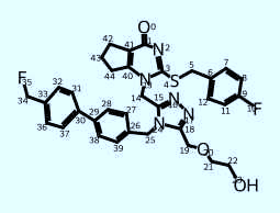 O=c1nc(SCc2ccc(F)cc2)n(Cc2nnc(COCCO)n2Cc2ccc(-c3ccc(CF)cc3)cc2)c2c1CCC2